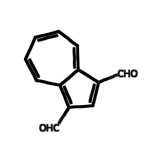 O=Cc1cc(C=O)c2cccccc1-2